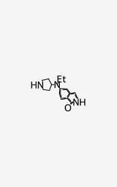 CCN(c1ccc2c(=O)[nH]ccc2c1)C1CCNCC1